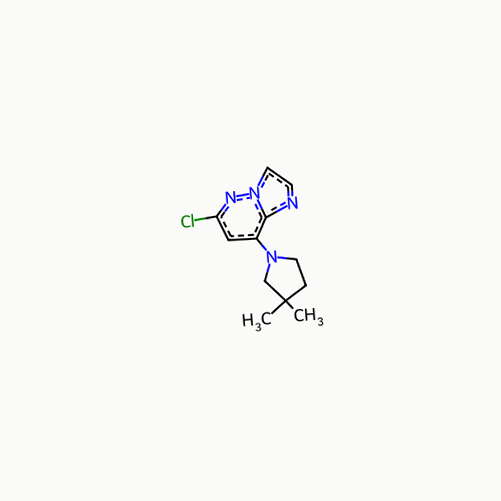 CC1(C)CCN(c2cc(Cl)nn3ccnc23)C1